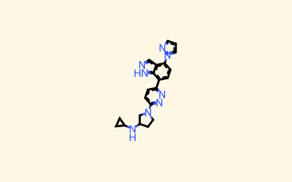 c1cnn(-c2ccc(-c3ccc(N4CCC(NC5CC5)C4)nn3)c3[nH]ncc23)c1